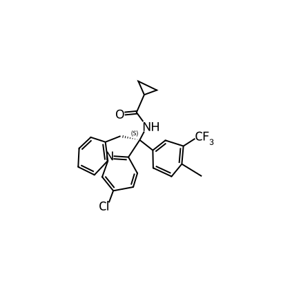 Cc1ccc([C@](Cc2ccccc2)(NC(=O)C2CC2)c2ccc(Cl)cn2)cc1C(F)(F)F